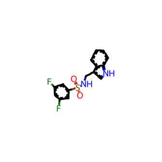 O=S(=O)(NCc1c[nH]c2ccccc12)c1cc(F)cc(F)c1